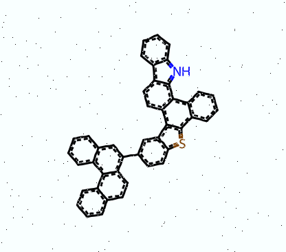 c1ccc2c(c1)ccc1c(-c3ccc4sc5c6ccccc6c6c(ccc7c8ccccc8[nH]c76)c5c4c3)cc3ccccc3c12